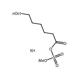 CCCCCCCCCCCCCC(=O)OS(=O)(=O)OC.[KH]